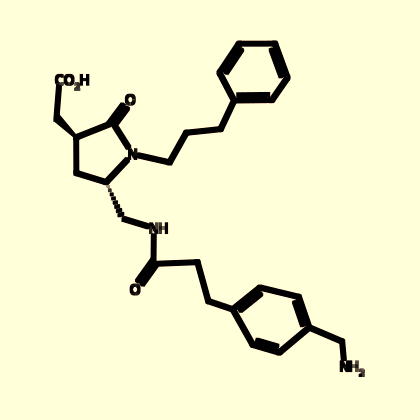 NCc1ccc(CCC(=O)NC[C@@H]2C[C@@H](CC(=O)O)C(=O)N2CCCc2ccccc2)cc1